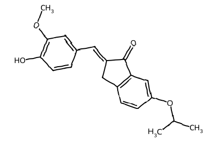 COc1cc(/C=C2\Cc3ccc(OC(C)C)cc3C2=O)ccc1O